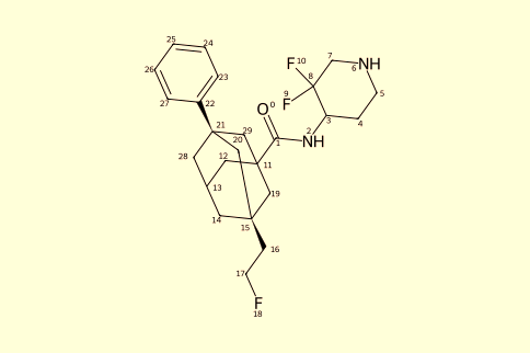 O=C(NC1CCNCC1(F)F)C12CC3C[C@@](CCF)(C1)C[C@](c1ccccc1)(C3)C2